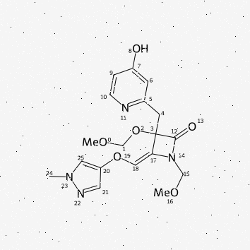 COCOC1(Cc2cc(O)ccn2)C(=O)N(COC)/C1=C/Oc1cnn(C)c1